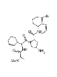 C/C=C\C1=C(C(C)C)CCC[C@H]1NC(=O)[C@@H]1C[C@H](N)CN1C(=O)[C@@H](NC(=O)[C@H](C)NC)C1CCCCC1